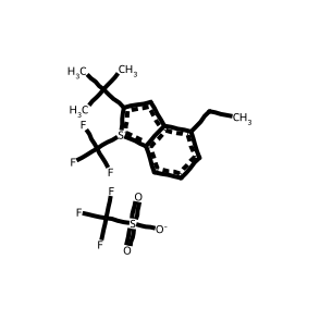 CCc1cccc2c1cc(C(C)(C)C)[s+]2C(F)(F)F.O=S(=O)([O-])C(F)(F)F